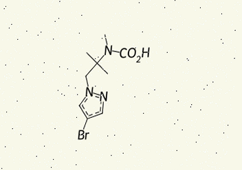 CN(C(=O)O)C(C)(C)Cn1cc(Br)cn1